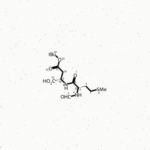 CSCC[C@H](NC=O)C(=O)N[C@@H](CC(=O)OC(C)(C)C)C(=O)O